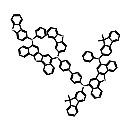 CC1(C)c2ccccc2-c2ccc(N(c3ccccc3)c3cc4c5cc(N(c6ccc(-c7ccc(N(c8ccc9oc%10ccccc%10c9c8)c8cc9c%10cc(N(c%11ccccc%11)c%11ccc%12oc%13ccccc%13c%12c%11)c%11ccccc%11c%10oc9c9ccccc89)cc7)cc6)c6ccc7c(c6)C(C)(C)c6ccccc6-7)c6ccccc6c5oc4c4ccccc34)cc21